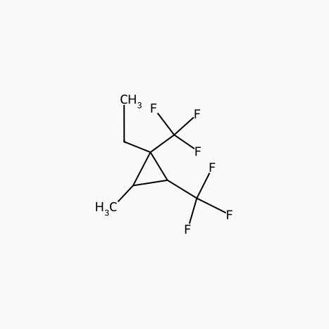 CCC1(C(F)(F)F)C(C)C1C(F)(F)F